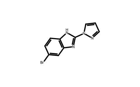 Brc1ccc2[nH]c(-n3cccn3)nc2c1